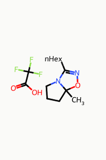 CCCCCCC1=NOC2(C)CCCN12.O=C(O)C(F)(F)F